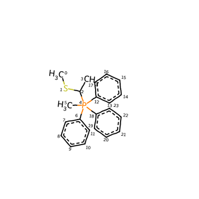 CSC(C)P(C)(c1ccccc1)(c1ccccc1)c1ccccc1